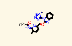 CCCC(=O)NC1N=C(COc2nc3ccccc3n2-c2nnnn2C)C=CC1C